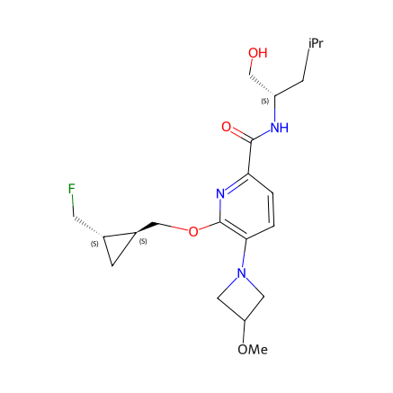 COC1CN(c2ccc(C(=O)N[C@H](CO)CC(C)C)nc2OC[C@H]2C[C@@H]2CF)C1